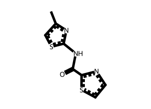 Cc1csc(NC(=O)c2nccs2)n1